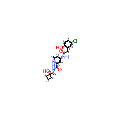 O=C(Cc1cc(Cl)ccc1O)Nc1ccnc(C(=O)NCC2(O)CCC2)c1